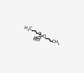 CCCC[O][Ti][O]CCCC.Cl.Cl